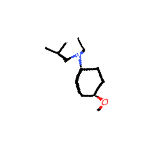 CCN(CC(C)C)[C@H]1CC[C@@H](OC)CC1